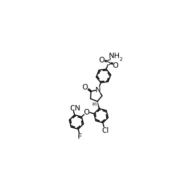 N#Cc1ccc(F)cc1Oc1cc(Cl)ccc1[C@H]1CC(=O)N(c2ccc(S(N)(=O)=O)cc2)C1